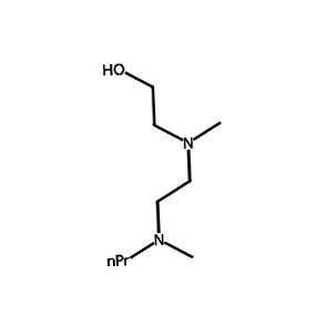 CCCN(C)CCN(C)CCO